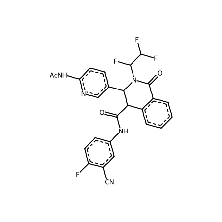 CC(=O)Nc1ccc(C2C(C(=O)Nc3ccc(F)c(C#N)c3)c3ccccc3C(=O)N2C(F)C(F)F)cn1